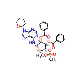 C[C@@H]1O[C@H](Nc2ncnc3c2ncn3C2CCCCO2)[C@@H](OC(=O)c2ccccc2)[C@H](OC(=O)c2ccccc2)[C@@H]1OS(C)(=O)=O